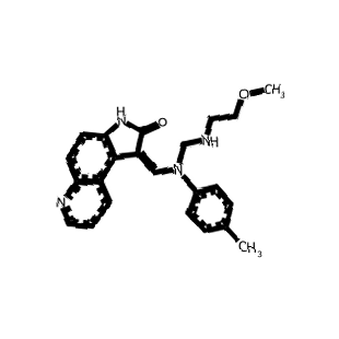 COCCNCN(C=C1C(=O)Nc2ccc3ncccc3c21)c1ccc(C)cc1